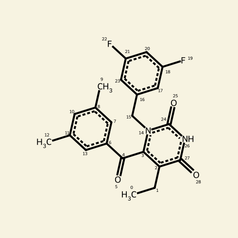 CCc1c(C(=O)c2cc(C)cc(C)c2)n(Cc2cc(F)cc(F)c2)c(=O)[nH]c1=O